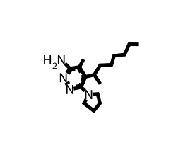 CCCCCCC(C)c1c(N2CCCC2)nnc(N)c1C